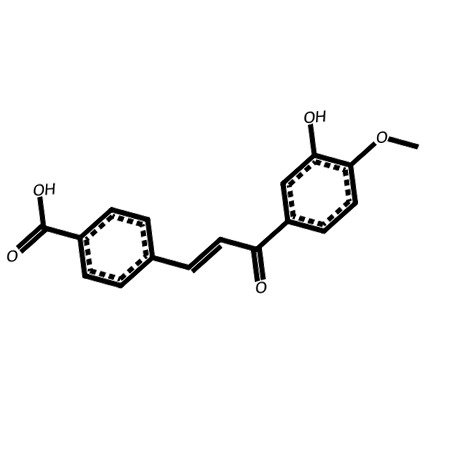 COc1ccc(C(=O)C=Cc2ccc(C(=O)O)cc2)cc1O